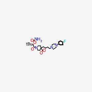 CC(C)(C)[C@@H](OC(N)=O)C(=O)N1CCC2(CC1)CC(CCN1CCN(c3ccc(F)cc3)CC1)OC2=O